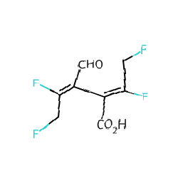 O=CC(=C(\F)CF)/C(C(=O)O)=C(/F)CF